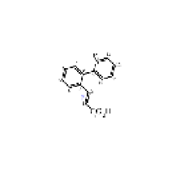 O=C(O)/C=C/c1ccccc1-c1ccccn1